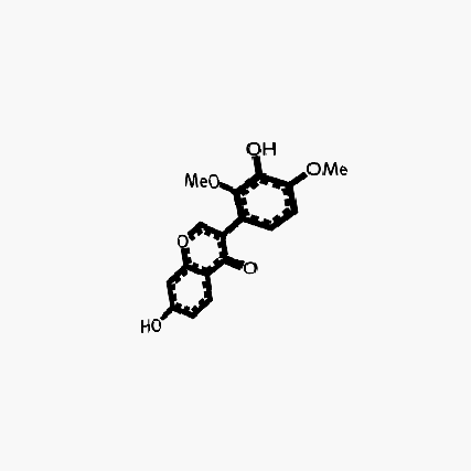 COc1ccc(-c2coc3cc(O)ccc3c2=O)c(OC)c1O